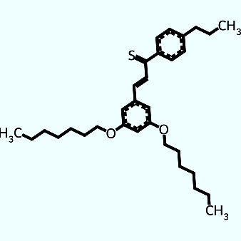 CCCCCCCOc1cc(C=CC(=S)c2ccc(CCC)cc2)cc(OCCCCCCC)c1